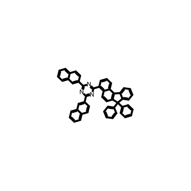 c1ccc(C2(c3ccccc3)c3ccccc3-c3c2ccc2c(-c4nc(-c5ccc6ccccc6c5)nc(-c5ccc6ccccc6c5)n4)cccc32)cc1